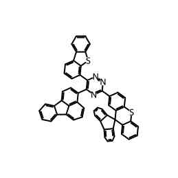 c1ccc2c(c1)Sc1ccc(-c3nnc(-c4cccc5c4sc4ccccc45)c(-c4ccc5c6c(cccc46)-c4ccccc4-5)n3)cc1C21c2ccccc2-c2ccccc21